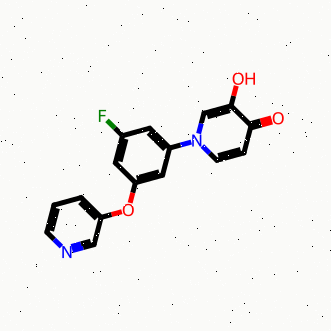 O=c1ccn(-c2cc(F)cc(Oc3cccnc3)c2)cc1O